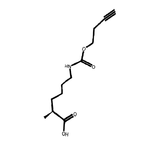 C#CCCOC(=O)NCCCC[C@H](C)C(=O)O